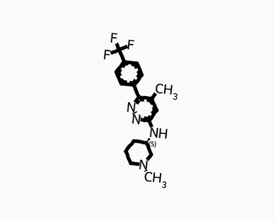 Cc1cc(N[C@H]2CCCN(C)C2)nnc1-c1ccc(C(F)(F)F)cc1